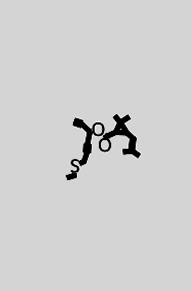 C#CC(C#CCSCC)OC(=O)C1C(C=C(C)C)C1(C)C